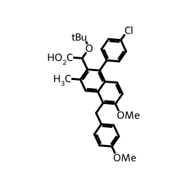 COc1ccc(Cc2c(OC)ccc3c(-c4ccc(Cl)cc4)c(C(OC(C)(C)C)C(=O)O)c(C)cc23)cc1